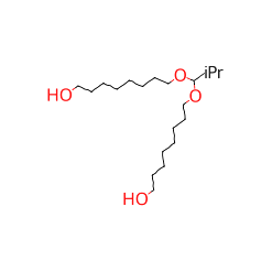 CC(C)C(OCCCCCCCCO)OCCCCCCCCO